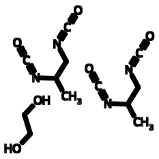 CC(CN=C=O)N=C=O.CC(CN=C=O)N=C=O.OCCO